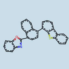 c1ccc2oc(-c3ccc(-c4cccc5c4sc4ccccc45)c4ccccc34)nc2c1